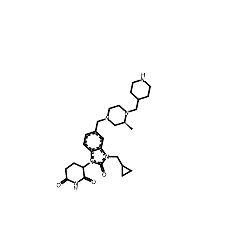 C[C@H]1CN(Cc2ccc3c(c2)n(CC2CC2)c(=O)n3C2CCC(=O)NC2=O)CCN1CC1CCNCC1